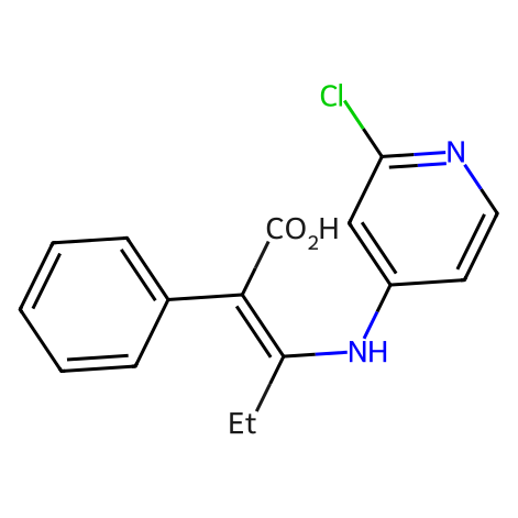 CCC(Nc1ccnc(Cl)c1)=C(C(=O)O)c1ccccc1